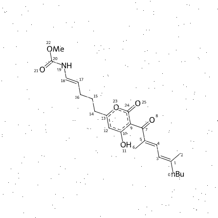 CCCC/C(C)=C/C=C(\C)C(=O)c1c(O)cc(CCC/C=C/NC(=O)OC)oc1=O